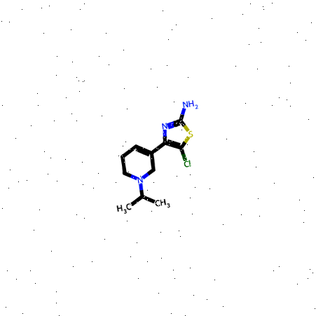 CC(C)N1CCC=C(c2nc(N)sc2Cl)C1